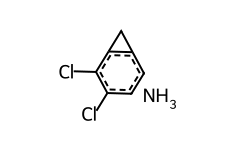 Clc1ccc2c(c1Cl)C2.N